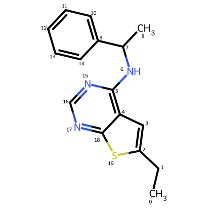 CCc1cc2c(NC(C)c3ccccc3)ncnc2s1